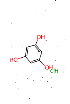 Cl.Oc1cc(O)cc(O)c1